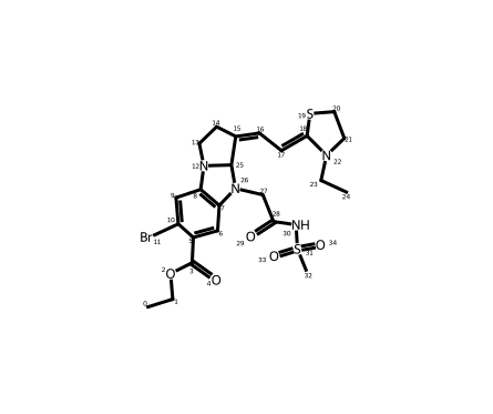 CCOC(=O)c1cc2c(cc1Br)N1CCC(=CC=C3SCCN3CC)C1N2CC(=O)NS(C)(=O)=O